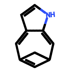 C1=C2C=c3cc[nH]c3=CC1C2